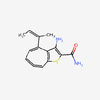 C/C=C(/C)C1=CC=C=Cc2sc(C(N)=O)c(N)c21